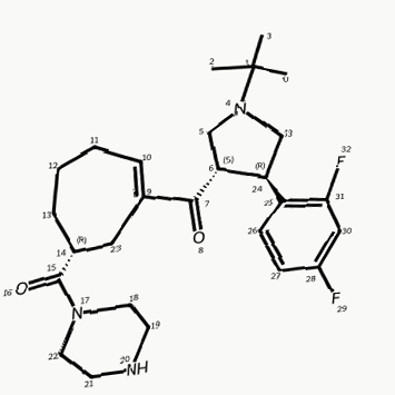 CC(C)(C)N1C[C@@H](C(=O)C2=CCCC[C@@H](C(=O)N3CCNCC3)C2)[C@H](c2ccc(F)cc2F)C1